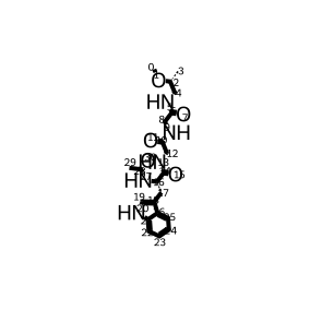 CO[C@H](C)CNC(=O)CNC(=O)CNC(=O)[C@H](Cc1c[nH]c2ccccc12)NC(C)=O